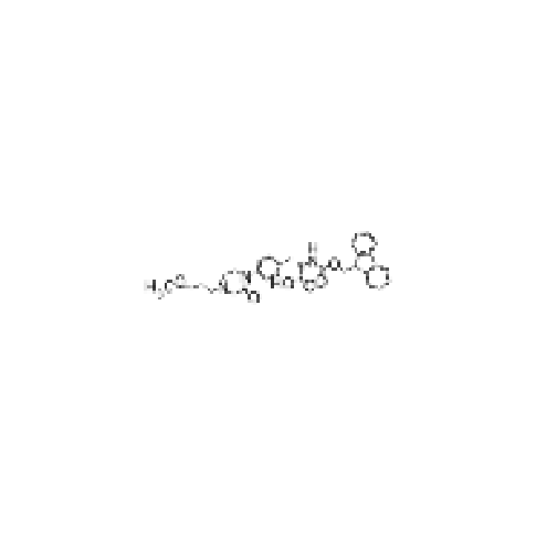 COCCCN1CCN(c2ccc(C[C@H](NC(=O)OCC3c4ccccc4-c4ccccc43)C(=O)O)cc2)C(=O)C1